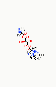 CCC[C@@](C)(N)C(=O)O.CCC[C@](C)(N)C(=O)OC(=O)C(O)C(O)C(=O)OC(=O)[C@@](C)(N)CCC